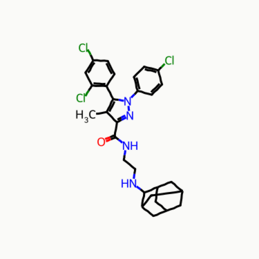 Cc1c(C(=O)NCCNC2C3CC4CC(C3)CC2C4)nn(-c2ccc(Cl)cc2)c1-c1ccc(Cl)cc1Cl